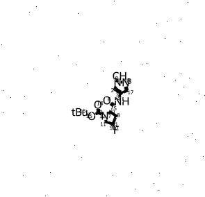 Cn1cc(NC(=O)[C@@H]2C[C@@H](F)CN2C(=O)OC(C)(C)C)cn1